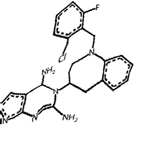 NC1=Nc2[nH]ncc2C(N)N1C1Cc2ccccc2N(Cc2c(F)cccc2Cl)C1